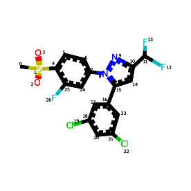 CS(=O)(=O)c1ccc(-n2nc(C(F)F)cc2-c2cc(Cl)cc(Cl)c2)cc1F